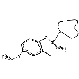 CCCCCC(Oc1ccc(OCCCC)cc1C)C1CCCCC1